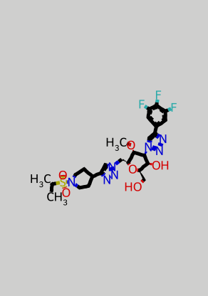 CO[C@@H]1[C@@H](n2cc(-c3cc(F)c(F)c(F)c3)nn2)[C@@H](O)[C@@H](CO)O[C@@H]1Cn1cc(C2CCN(S(=O)(=O)C(C)C)CC2)nn1